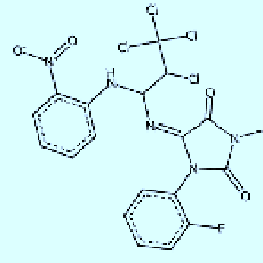 CN1C(=O)C(=NC(Nc2ccccc2[N+](=O)[O-])C(Cl)C(Cl)(Cl)Cl)N(c2ccccc2F)C1=O